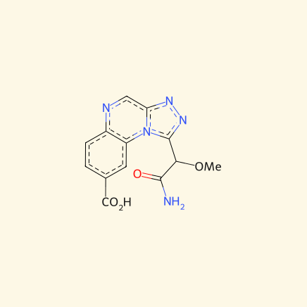 COC(C(N)=O)c1nnc2cnc3ccc(C(=O)O)cc3n12